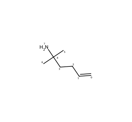 C=CCCC(C)(C)N